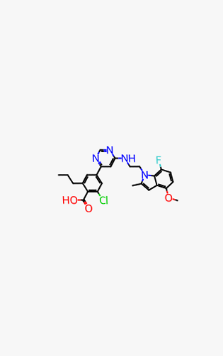 CCCc1cc(-c2cc(NCCn3c(C)cc4c(OC)ccc(F)c43)ncn2)cc(Cl)c1C(=O)O